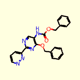 O=C(Nc1cnc(-c2cccnn2)nc1OCc1ccccc1)OCc1ccccc1